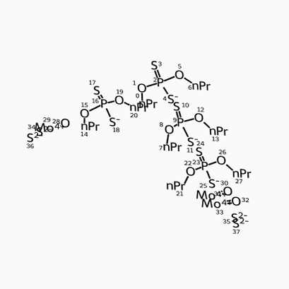 CCCOP(=S)([S-])OCCC.CCCOP(=S)([S-])OCCC.CCCOP(=S)([S-])OCCC.CCCOP(=S)([S-])OCCC.[O]=[Mo+4].[O]=[Mo+4].[O]=[Mo+4].[S-2].[S-2].[S-2].[S-2]